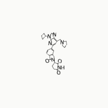 O=C1CCC(N2Cc3cc(-c4cc(CN5CCCC5)c5ncn(C6CCC6)c5n4)ccc3C2=O)C(=O)N1